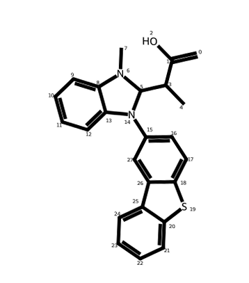 C=C(O)C(C)C1N(C)c2ccccc2N1c1ccc2sc3ccccc3c2c1